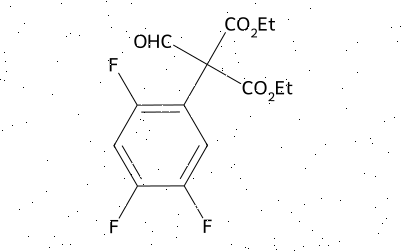 CCOC(=O)C(C=O)(C(=O)OCC)c1cc(F)c(F)cc1F